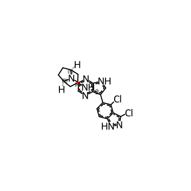 N[C@H]1C[C@H]2CC[C@@H](C1)N2c1cnc2c(-c3ccc4[nH]nc(Cl)c4c3Cl)c[nH]c2n1